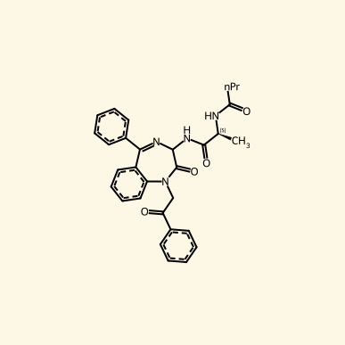 CCCC(=O)N[C@@H](C)C(=O)NC1N=C(c2ccccc2)c2ccccc2N(CC(=O)c2ccccc2)C1=O